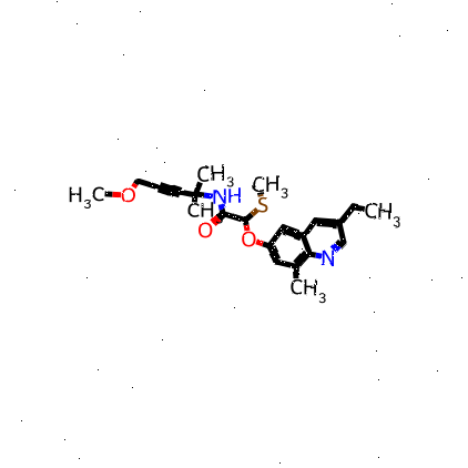 CCc1cnc2c(C)cc(OC(SC)C(=O)NC(C)(C)C#CCOC)cc2c1